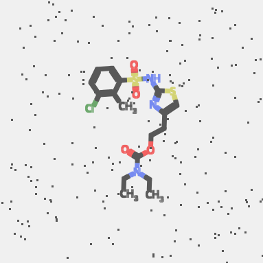 CCN(CC)C(=O)OCCc1csc(NS(=O)(=O)c2cccc(Cl)c2C)n1